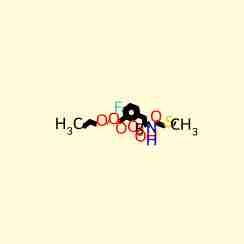 CCCCOCOC(=O)c1c(F)ccc2c1OB(O)[C@@H](NC(=O)CSC)C2